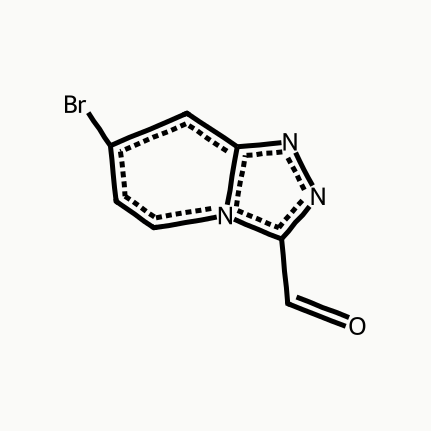 O=Cc1nnc2cc(Br)ccn12